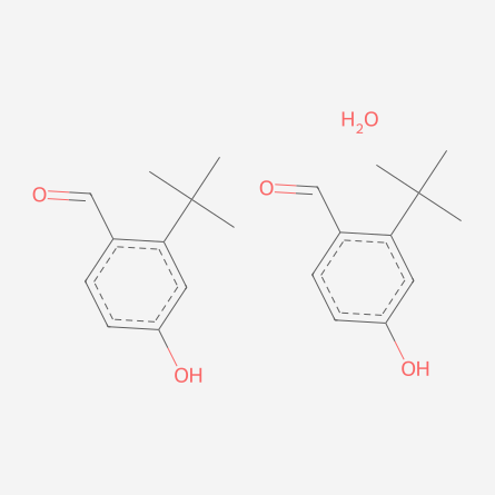 CC(C)(C)c1cc(O)ccc1C=O.CC(C)(C)c1cc(O)ccc1C=O.O